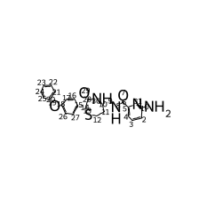 Nc1cccc(C(=O)NC[C@@H]2CCS[C@H](c3ccc(Oc4ccccc4)cc3)C(=O)N2)n1